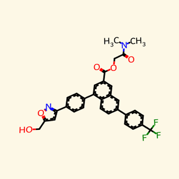 CN(C)C(=O)COC(=O)c1cc(-c2ccc(-c3cc(CO)on3)cc2)c2ccc(-c3ccc(C(F)(F)F)cc3)cc2c1